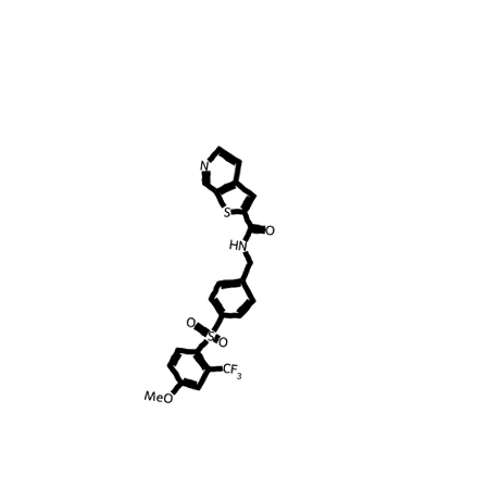 COc1ccc(S(=O)(=O)c2ccc(CNC(=O)c3cc4ccncc4s3)cc2)c(C(F)(F)F)c1